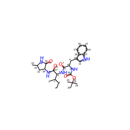 CCC(C)C(NC(=O)C(Cc1c[nH]c2ccccc12)NC(=O)OC(C)(C)C)C(=O)NC1CC(C)NC1=O